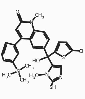 Cn1c(C(O)(c2ccc3c(c2)c(-c2cccc([Si](C)(C)C)c2)cc(=O)n3C)c2ccc(Cl)s2)cnc1S